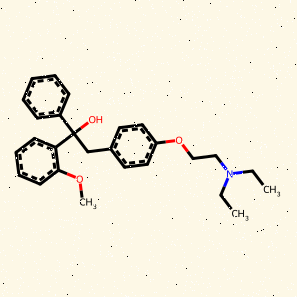 CCN(CC)CCOc1ccc(CC(O)(c2ccccc2)c2ccccc2OC)cc1